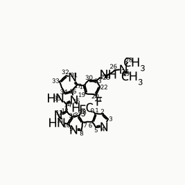 Cc1ccncc1-c1cnc2[nH]nc(-c3nc4c(-c5cc(F)cc(NCCN(C)C)c5)nccc4[nH]3)c2c1F